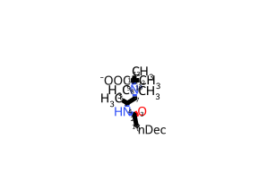 CCCCCCCCCCCC(=O)NC(C)C[N+](C)(C)C(C)(C)C(=O)[O-]